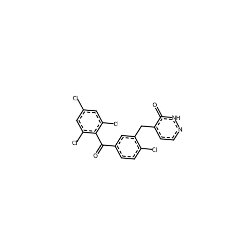 O=C(c1ccc(Cl)c(Cc2ccn[nH]c2=O)c1)c1c(Cl)cc(Cl)cc1Cl